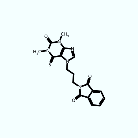 Cn1c(=S)c2c(ncn2CCCN2C(=O)c3ccccc3C2=O)n(C)c1=O